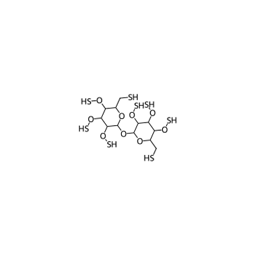 SCC1OC(OC2OC(CS)C(OS)C(OS)C2OS)C(OS)C(OS)C1OS